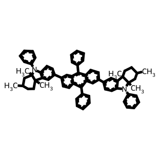 CC1CCC2(C)c3cc(-c4ccc5c(-c6ccccc6)c6cc(-c7ccc8c(c7)C7(C)CCC(C)CC7(C)N8c7ccccc7)ccc6c(-c6ccccc6)c5c4)ccc3N(c3ccccc3)C2(C)C1